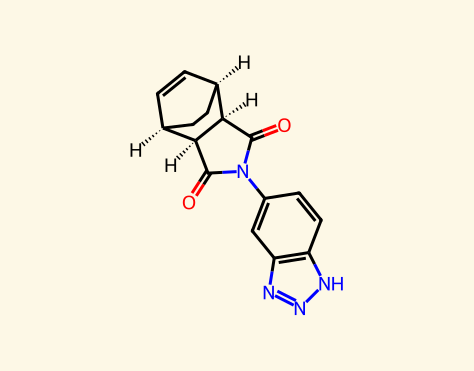 O=C1[C@@H]2[C@H](C(=O)N1c1ccc3[nH]nnc3c1)[C@@H]1C=C[C@H]2CC1